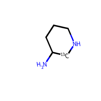 NC1CCCN[13CH2]1